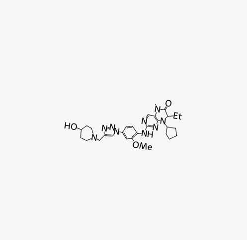 CCC1C(=O)N(C)c2cnc(Nc3ccc(-n4cc(CN5CCC(O)CC5)nn4)cc3OC)nc2N1C1CCCC1